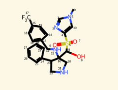 Cn1cnc(S(=O)(=O)C(O)C2(NCc3ccc(C(F)(F)F)cc3)CNCC2c2ccccc2)c1